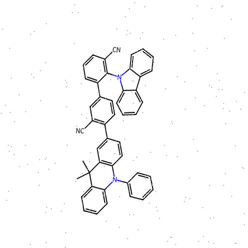 CC1(C)c2ccccc2N(c2ccccc2)c2ccc(-c3ccc(-c4cccc(C#N)c4-n4c5ccccc5c5ccccc54)cc3C#N)cc21